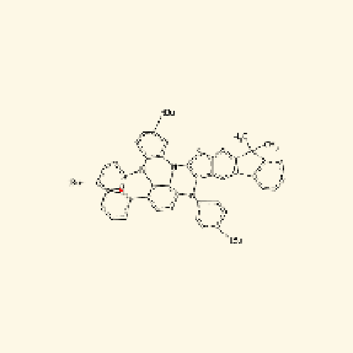 CC(C)(C)c1ccc(N2c3ccc(C(C)(C)C)cc3N3c4sc5cc6c(cc5c4N(c4ccc(C(C)(C)C)cc4)c4ccc(-c5ccccc5)c2c43)-c2ccccc2C6(C)C)cc1